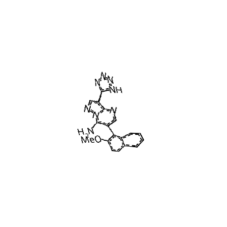 COc1ccc2ccccc2c1-c1cnc2c(-c3nnn[nH]3)cnn2c1N